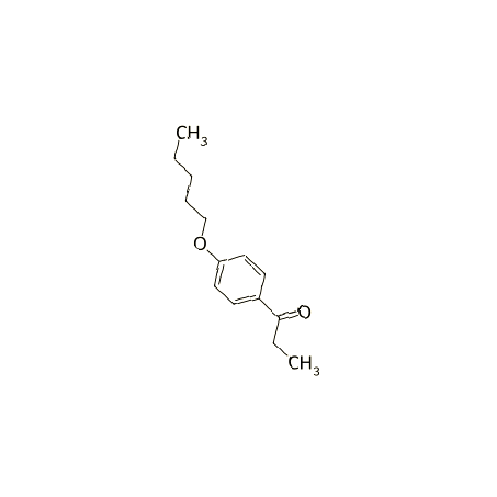 CCCCCOc1ccc(C(=O)CC)cc1